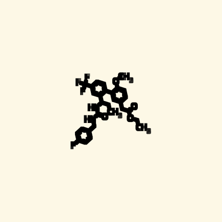 CCOC(=O)Cc1ccc(OC)c(-c2ccc(C(F)(F)F)cc2C(CC)NC(=O)NCc2ccc(F)cc2)c1